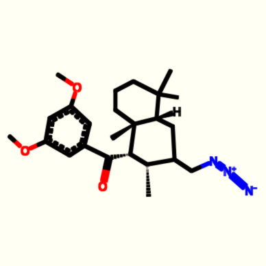 COc1cc(OC)cc(C(=O)[C@H]2[C@@H](C)C(CN=[N+]=[N-])C[C@H]3C(C)(C)CCC[C@@]23C)c1